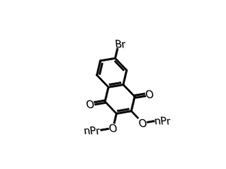 CCCOC1=C(OCCC)C(=O)c2cc(Br)ccc2C1=O